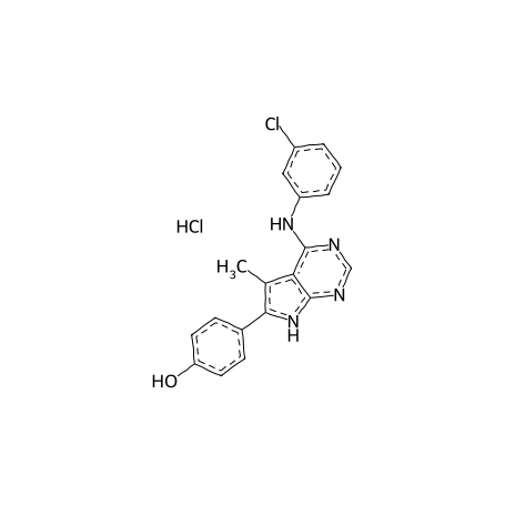 Cc1c(-c2ccc(O)cc2)[nH]c2ncnc(Nc3cccc(Cl)c3)c12.Cl